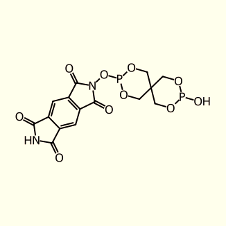 O=c1[nH]c(=O)c2cc3c(=O)n(OP4OCC5(COP(O)OC5)CO4)c(=O)c3cc12